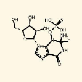 NC1(F)NC(=O)c2ncn([C@@H]3O[C@H](CO)[C@@H](O)[C@H]3O)c2N1OP(O)(O)=S